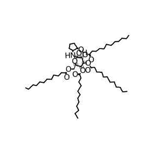 CCCCCCCCCCCC(=O)OC[C@H]1O[C@](O)(NC2CCCC2=O)[C@H](OC(=O)CCCCCCCCCCC)[C@@H](OC(=O)CCCCCCCCCCC)[C@H]1OC(=O)CCCCCCCCCCC